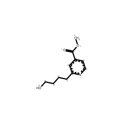 COC(=O)c1ccnc(CCCCO)c1